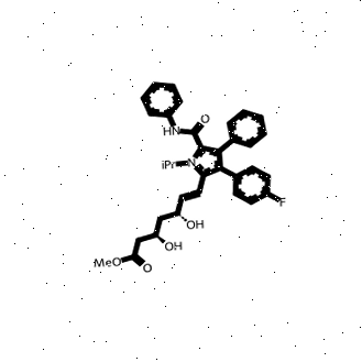 COC(=O)C[C@H](O)C[C@@H](O)/C=C/c1c(-c2ccc(F)cc2)c(-c2ccccc2)c(C(=O)Nc2ccccc2)n1C(C)C